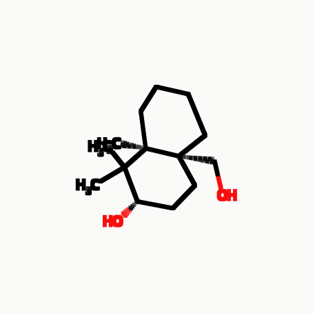 CC1(C)[C@@H](O)CC[C@]2(CO)CCCC[C@]12C